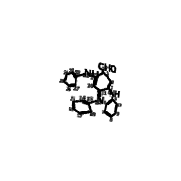 O=CC1C=C(Nc2ccccc2)C(=Nc2ccccc2)C=C1Nc1ccccc1